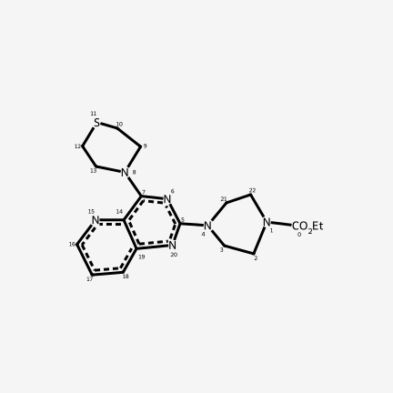 CCOC(=O)N1CCN(c2nc(N3CCSCC3)c3ncccc3n2)CC1